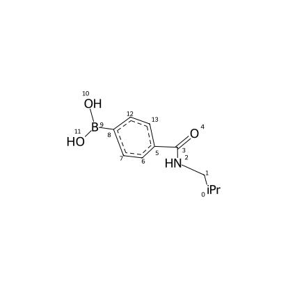 CC(C)CNC(=O)c1ccc(B(O)O)cc1